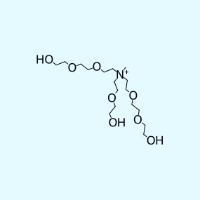 C[N+](CCOCCO)(CCOCCOCCO)CCOCCOCCO